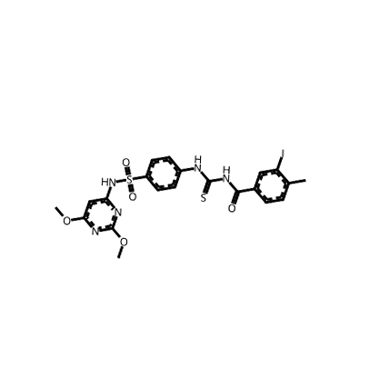 COc1cc(NS(=O)(=O)c2ccc(NC(=S)NC(=O)c3ccc(C)c(I)c3)cc2)nc(OC)n1